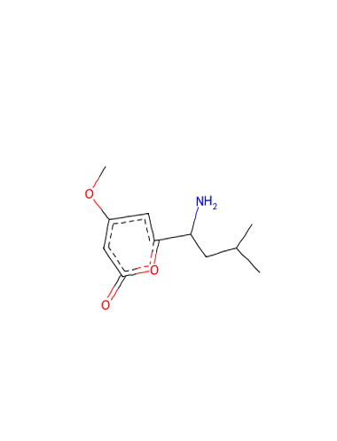 COc1cc(C(N)CC(C)C)oc(=O)c1